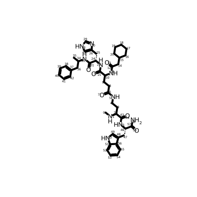 CNC(CCNC(=O)CCC(NC(=O)CC1CCCCC1)C(=O)N[C@@H](Cc1c[nH]cn1)C(=O)NC(C)Cc1ccccc1)C(=O)N[C@@H](Cc1c[nH]c2ccccc12)C(N)=O